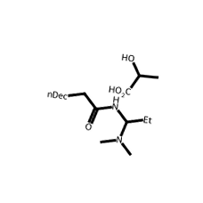 CC(O)C(=O)O.CCCCCCCCCCCC(=O)NC(CC)N(C)C